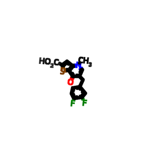 Cn1cc(Cc2ccc(F)c(F)c2)c(=O)c2sc(C(=O)O)cc21